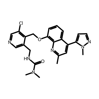 Cc1cc(-c2ccnn2C)c2cccc(OCc3c(Cl)cncc3CNC(=O)N(C)C)c2n1